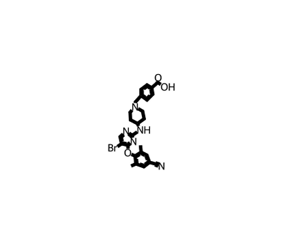 Cc1cc(C#N)cc(C)c1Oc1nc(NC2CCN(Cc3ccc(C(=O)O)cc3)CC2)ncc1Br